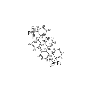 FC(F)(F)c1ccccc1-c1ccccc1-c1cccnc1-c1ccccc1-c1ccccc1C(F)(F)F